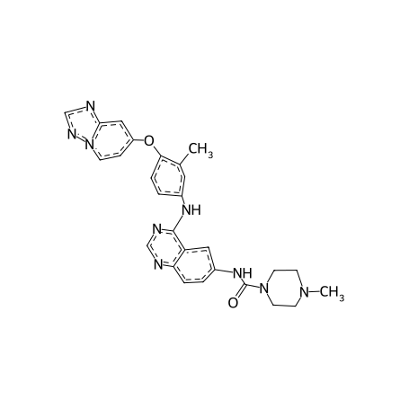 Cc1cc(Nc2ncnc3ccc(NC(=O)N4CCN(C)CC4)cc23)ccc1Oc1ccn2ncnc2c1